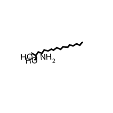 CCCCCCCCCCCCCC(N)CC(CO)CO